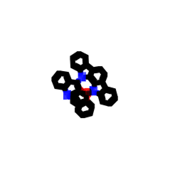 c1ccc(-n2c3ccccc3c3ccc4c5ccccc5n(-c5c6ccccc6nc6c5oc5ccccc56)c4c32)cc1